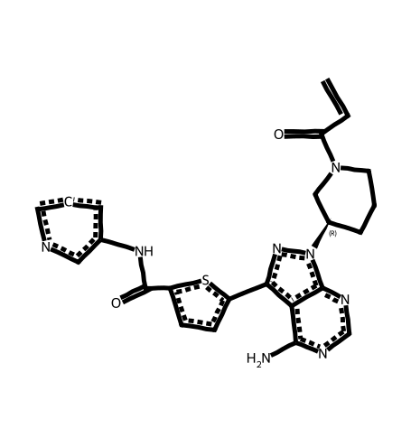 C=CC(=O)N1CCC[C@@H](n2nc(-c3ccc(C(=O)Nc4cccnc4)s3)c3c(N)ncnc32)C1